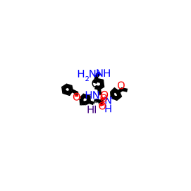 CC(=O)c1ccc(NOC(=O)[C@H](Cc2ccc(OCc3ccccc3)cc2)NC(=O)c2ccc(C(=N)N)cc2)cc1.I